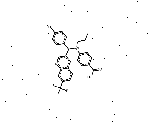 CCC[C@H](c1ccc(C(=O)O)cc1)C(c1ccc(Cl)cc1)c1cnc2cc(C(F)(F)F)ccc2c1